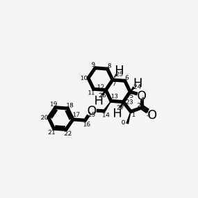 C[C@@H]1C(=O)O[C@H]2C[C@@H]3CCCC[C@H]3[C@H](COCc3ccccc3)[C@H]21